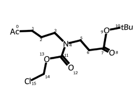 CC(=O)CCCN(CCC(=O)OC(C)(C)C)C(=O)OCCl